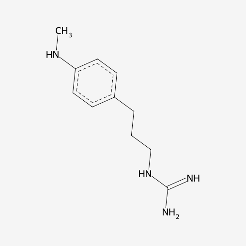 CNc1ccc(CCCNC(=N)N)cc1